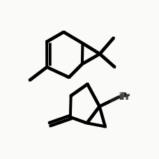 C=C1CCC2(C(C)C)CC12.CC1=CCC2C(C1)C2(C)C